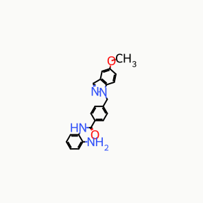 COc1ccc2c(cnn2Cc2ccc(C(=O)Nc3ccccc3N)cc2)c1